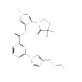 Cn1cc(NC(=O)c2cccc(-n3cc(CNCC(F)(F)F)cn3)n2)c(N2CCC(C)(C)C2=O)n1